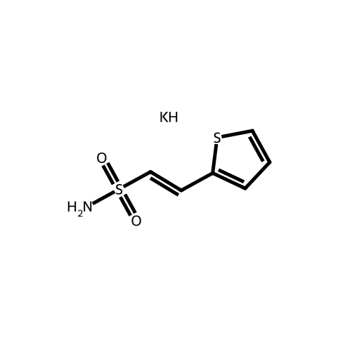 NS(=O)(=O)/C=C/c1cccs1.[KH]